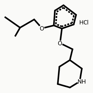 CC(C)COc1ccccc1OCC1CCCNC1.Cl